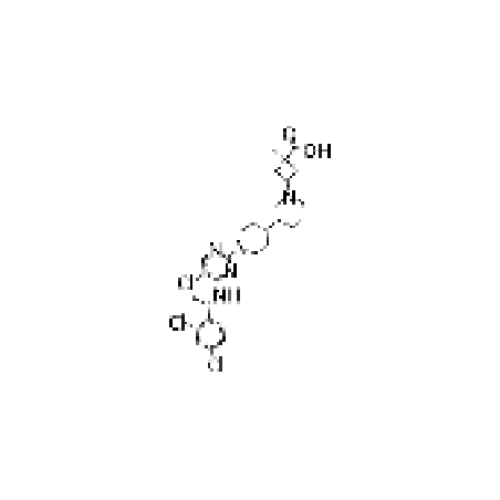 C[C@@H](Nc1nc(N2CCC(C3CCCN(C4CC(C)(C(=O)O)C4)C3)CC2)ncc1Cl)c1ccc(Cl)cc1Cl